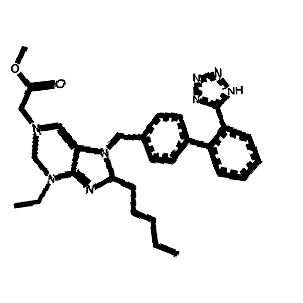 CCCCCC1N=C2C(=CN(CC(=O)OC)CN2CC)N1Cc1ccc(-c2ccccc2-c2nnn[nH]2)cc1